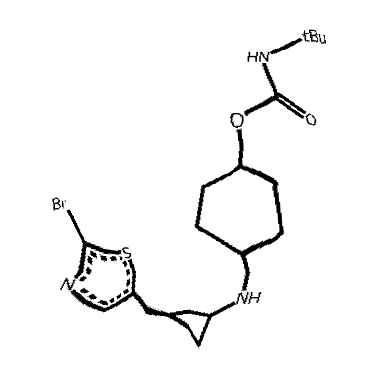 CC(C)(C)NC(=O)OC1CCC(NC2CC2c2cnc(Br)s2)CC1